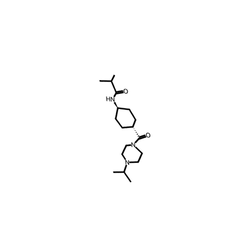 CC(C)C(=O)N[C@H]1CC[C@H](C(=O)N2CCN(C(C)C)CC2)CC1